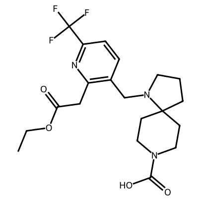 CCOC(=O)Cc1nc(C(F)(F)F)ccc1CN1CCCC12CCN(C(=O)O)CC2